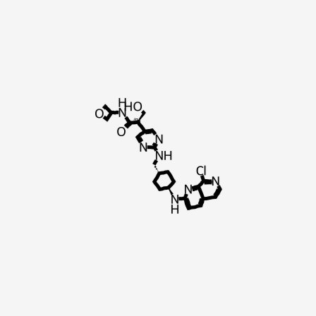 O=C(NC1COC1)[C@@H](CO)c1cnc(NC[C@H]2CC[C@H](Nc3ccc4ccnc(Cl)c4n3)CC2)nc1